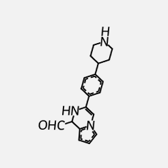 O=CC1NC(c2ccc(C3CCNCC3)cc2)=Cn2cccc21